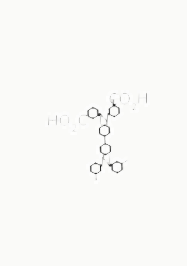 Cc1cccc(N(c2ccc(-c3ccc(N(c4cccc(C(=O)O)c4)c4cccc(C(=O)O)c4)cc3)cc2)c2cccc(C)c2)c1